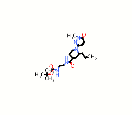 C=CCC1CC(C(=O)NCCNC(=O)OC(C)(C)C)CCN1c1ccc(=O)n(C)n1